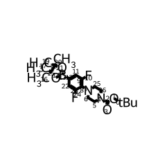 CC(C)(C)OC(=O)N1CCN(c2c(F)cc(B3OC(C)(C)C(C)(C)O3)cc2F)CC1